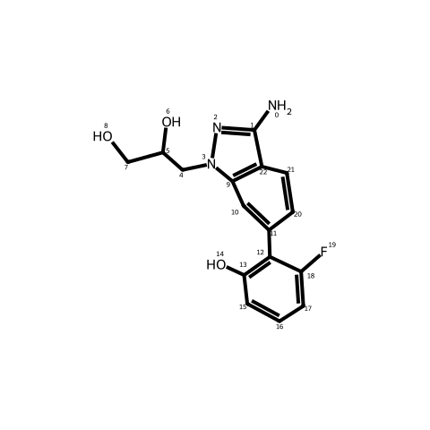 Nc1nn(CC(O)CO)c2cc(-c3c(O)cccc3F)ccc12